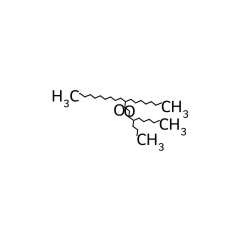 CCCCCCCCCCC(CCCCCCCC)C(=O)OCC(CCCC)CCCCCC